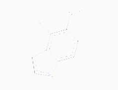 CC(=O)Nc1ccc2[nH][c]cc2c1Cl